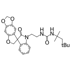 CC(C)(C)CC(C)(C)NC(=O)NCCN1C(=O)C2(COc3cc4c(cc32)OCO4)c2ccccc21